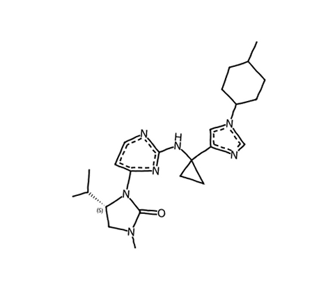 CC1CCC(n2cnc(C3(Nc4nccc(N5C(=O)N(C)C[C@@H]5C(C)C)n4)CC3)c2)CC1